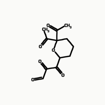 CC(=O)C1(C(C)=O)CCCC(C(=O)C(=O)C=O)O1